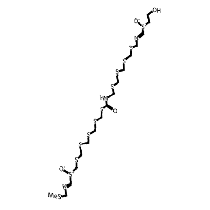 CSC/N=C/[S+]([O-])CSCSCSCSCSC(=O)NCSCSCSCSC/N=C/[S+]([O-])CCO